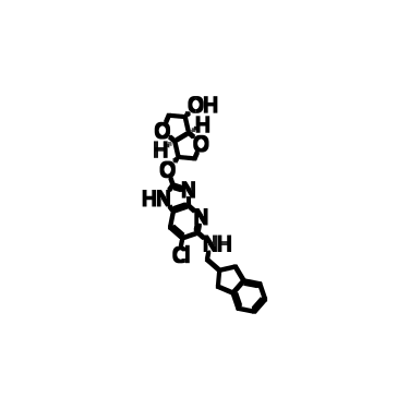 O[C@@H]1CO[C@H]2[C@@H]1OC[C@H]2Oc1nc2nc(NCC3Cc4ccccc4C3)c(Cl)cc2[nH]1